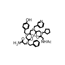 CC(=O)NCC(=O)N(CC(=O)N(CC(=O)N(CC(=O)N(CC(N)=O)Cc1ccccc1)Cc1ccc(O)cc1)Cc1cccnc1)C1CCCC1